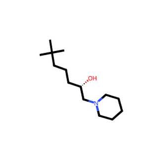 CC(C)(C)CCC[C@H](O)CN1CCCCC1